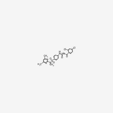 Cc1cc(C)nc(N(C)S(=O)(=O)c2ccc(NC(=O)NC(=O)c3ccc(Cl)cc3Cl)cc2)n1